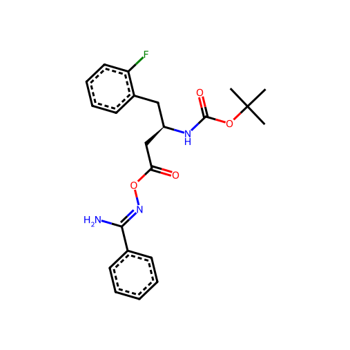 CC(C)(C)OC(=O)N[C@@H](CC(=O)O/N=C(\N)c1ccccc1)Cc1ccccc1F